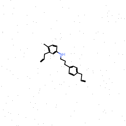 C=CCc1ccc(CCCNc2ccc(C)c(CC=C)c2)cc1